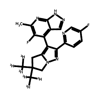 [2H]C([2H])([2H])C1(C([2H])([2H])[2H])Cc2c(-c3c(F)c(C)nc4[nH]ncc34)c(-c3ccc(F)cn3)nn2C1